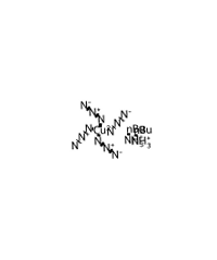 CCCC[NH3+].CCCC[NH3+].[N-]=[N+]=[N][Cu-2]([N]=[N+]=[N-])([N]=[N+]=[N-])[N]=[N+]=[N-]